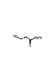 CNC(=S)CCC(C)=O